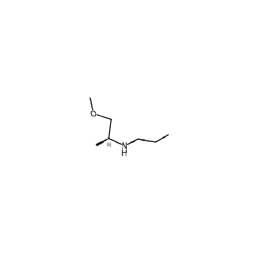 CCCN[C@@H](C)COC